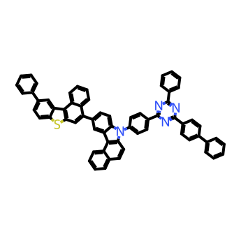 c1ccc(-c2ccc(-c3nc(-c4ccccc4)nc(-c4ccc(-n5c6ccc(-c7cc8sc9ccc(-c%10ccccc%10)cc9c8c8ccccc78)cc6c6c7ccccc7ccc65)cc4)n3)cc2)cc1